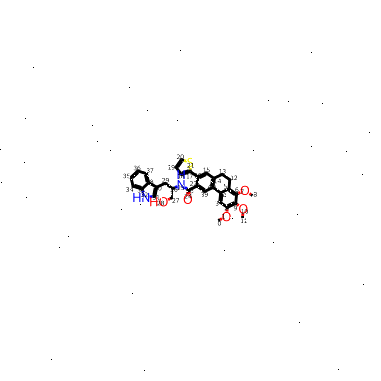 COc1cc2c(c(OC)c1OC)CCc1cc(-c3cccs3)c(C(=O)N[C@@H](CO)Cc3c[nH]c4ccccc34)cc1-2